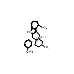 COc1cccc([C@@]23CCN(C)C[C@@]2(O)Cc2c([nH]c4cccc([N+](=O)[O-])c24)C3)c1